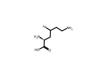 [2H]C(CCN)C[C@H](N)C(=O)O